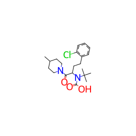 CC1CCN(C(=O)C(CCc2ccccc2Cl)N(C(=O)O)C(C)(C)C)CC1